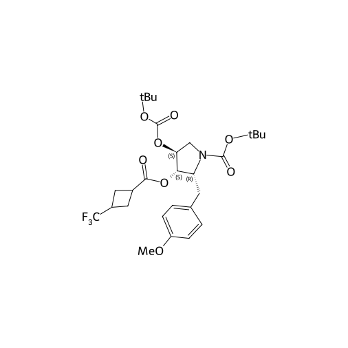 COc1ccc(C[C@@H]2[C@H](OC(=O)C3CC(C(F)(F)F)C3)[C@@H](OC(=O)OC(C)(C)C)CN2C(=O)OC(C)(C)C)cc1